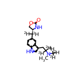 [2H]C([2H])(c1ccc2[nH]cc(CC([2H])([2H])N(C)C([2H])([2H])[2H])c2c1)[C@H]1COC(=O)N1